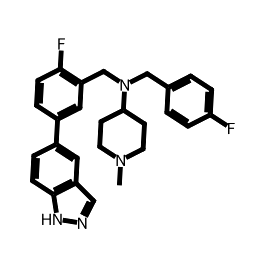 CN1CCC(N(Cc2ccc(F)cc2)Cc2cc(-c3ccc4[nH]ncc4c3)ccc2F)CC1